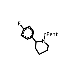 CCCCCN1CCCCC1c1ccc(F)cc1